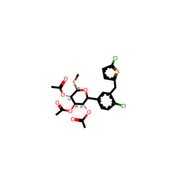 CS[C@H]1OC(c2ccc(Cl)c(Cc3ccc(Cl)s3)c2)[C@H](OC(C)=O)[C@@H](OC(C)=O)[C@@H]1OC(C)=O